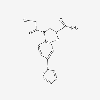 NC(=O)C1CN(C(=O)CCl)c2ccc(-c3ccccc3)cc2O1